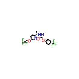 CC(NC(=O)COc1ccc(C(F)(F)F)cc1)c1ccc(OCC(F)(F)F)cn1